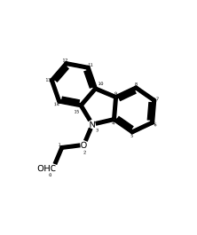 O=CCOn1c2ccccc2c2ccccc21